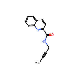 CC(C)(C)C#CCNC(=O)c1ccc2ccccc2n1